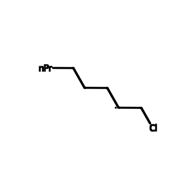 CCCCCC[CH]CCl